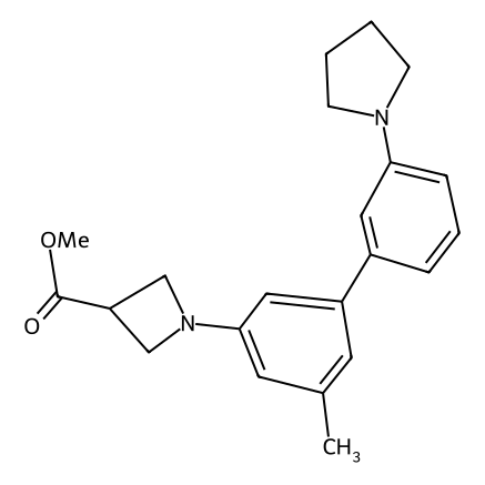 COC(=O)C1CN(c2cc(C)cc(-c3cccc(N4CCCC4)c3)c2)C1